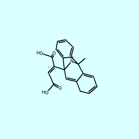 CC12NC(/C(=C\C(=O)O)C(=O)O)(C=C3CC=CC=C31)c1ccccc12